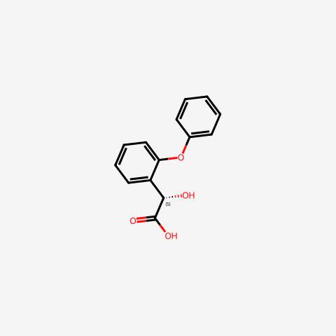 O=C(O)[C@@H](O)c1ccccc1Oc1ccccc1